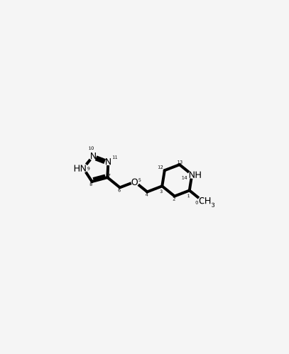 CC1CC(COCc2c[nH]nn2)CCN1